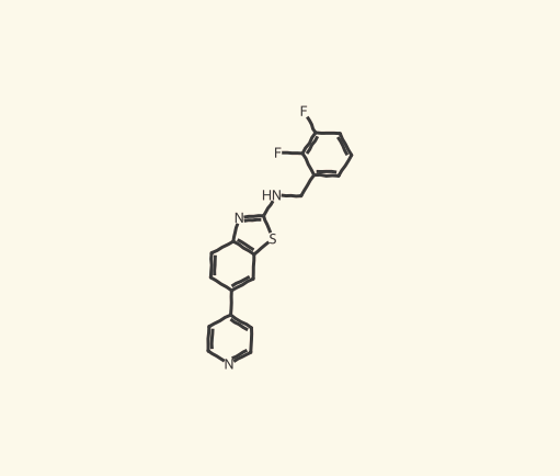 Fc1cccc(CNc2nc3ccc(-c4ccncc4)cc3s2)c1F